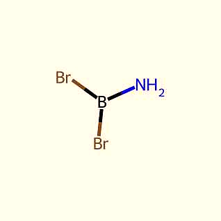 NB(Br)Br